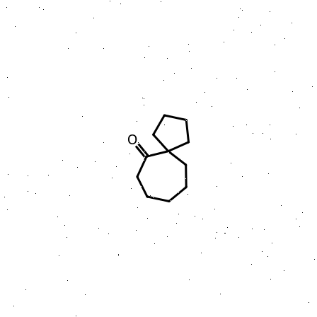 O=C1CCCCCC12CCCC2